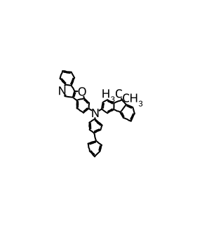 CC1(C)c2ccccc2-c2cc(N(c3ccc(-c4ccccc4)cc3)c3ccc4c(c3)oc3c5ccccc5ncc43)ccc21